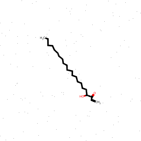 C=CC(=O)C(O)C[CH]CCCCCCCCCCCCCCCC